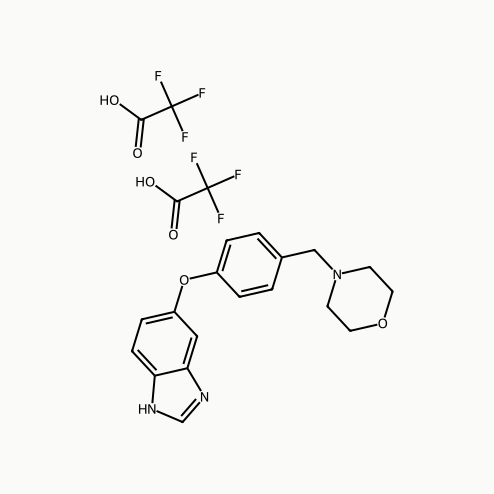 O=C(O)C(F)(F)F.O=C(O)C(F)(F)F.c1nc2cc(Oc3ccc(CN4CCOCC4)cc3)ccc2[nH]1